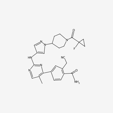 Cc1cnc(Nc2cnn(C3CCN(C(=O)C4(F)CC4)CC3)c2)nc1-c1ccc(C(N)=O)c(CC#N)c1